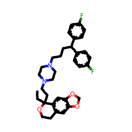 CCC1(CCN2CCN(CCCC(c3ccc(F)cc3)c3ccc(F)cc3)CC2)OCCc2cc3c(cc21)OCO3